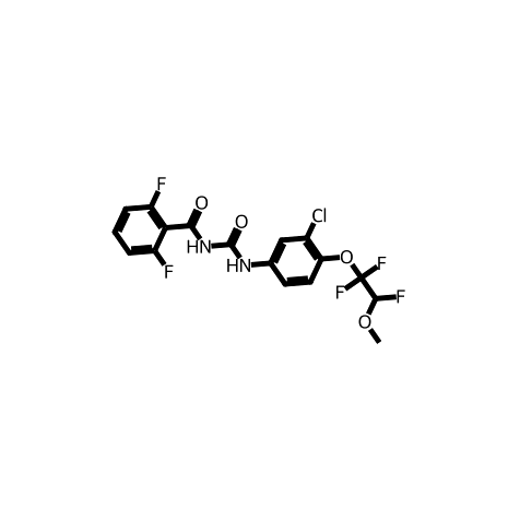 COC(F)C(F)(F)Oc1ccc(NC(=O)NC(=O)c2c(F)cccc2F)cc1Cl